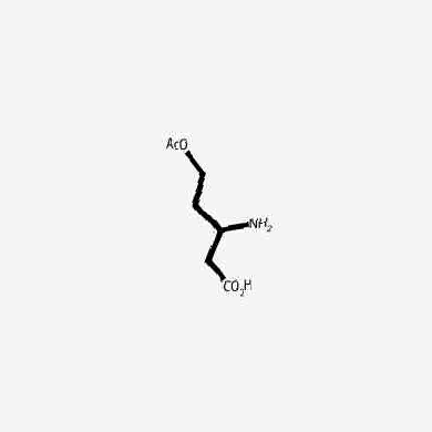 CC(=O)OCCC(N)CC(=O)O